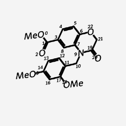 COC(=O)c1ccc2c(c1)N(Cc1ccc(OC)cc1OC)C(=O)CO2